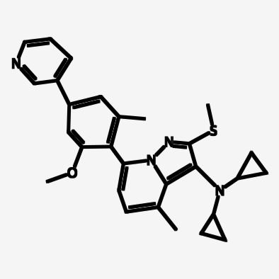 COc1cc(-c2cccnc2)cc(C)c1-c1ccc(C)c2c(N(C3CC3)C3CC3)c(SC)nn12